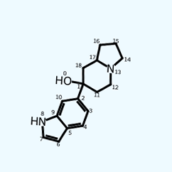 OC1(c2ccc3cc[nH]c3c2)CCN2CCCC2C1